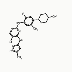 Cc1cc(Nc2nc(Nc3cc(C)c([C@H]4CC[C@H](O)CC4)cc3F)ncc2Cl)n[nH]1